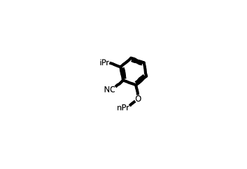 [CH2]C(C)c1cccc(OCCC)c1C#N